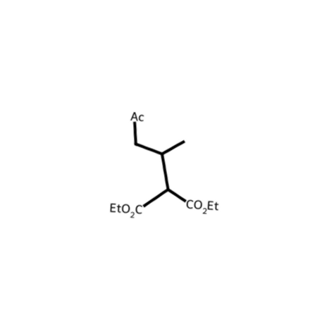 CCOC(=O)C(C(=O)OCC)C(C)CC(C)=O